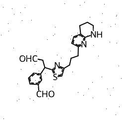 O=CCC(c1cccc(C=O)c1)c1nc(CCCc2ccc3c(n2)NCCC3)cs1